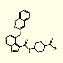 O=C(NC1CCC(C(=O)O)CC1)c1cnn2cccc(Cc3cc4ccccc4cn3)c12